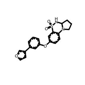 O=S1(=O)NC2CCCN2c2ccc(Oc3cccc(-c4ccoc4)c3)cc21